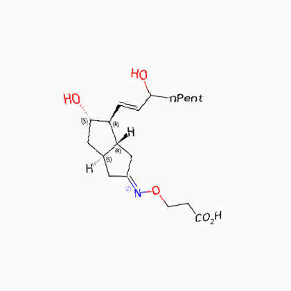 CCCCCC(O)C=C[C@H]1[C@@H]2C/C(=N\OCCC(=O)O)C[C@H]2C[C@@H]1O